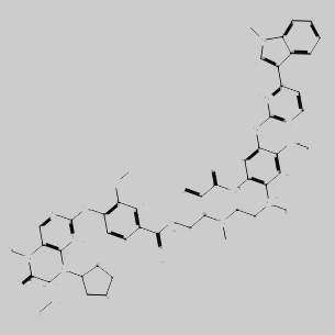 C=CC(=O)Nc1cc(Nc2nccc(-c3cn(C)c4ccccc34)n2)c(OC)cc1N(C)CCN(C)CCNC(=O)c1ccc(Nc2ncc3c(n2)N(C2CCCC2)[C@H](CC)C(=O)N3C)c(OC)c1